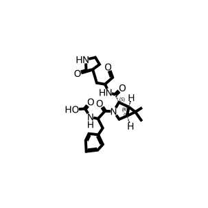 CC1(C)[C@@H]2[C@@H](C(=O)NC(C=O)CC3CCNC3=O)N(C(=O)C(Cc3ccccc3)NC(=O)O)C[C@@H]21